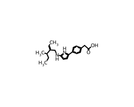 C/C=C(\CNc1ccc(-c2ccc(CC(=O)O)cc2)[nH]1)C(C)CC